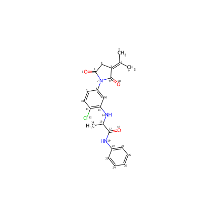 CC(C)=C1CC(=O)N(c2ccc(Cl)c(NC(C)C(=O)Nc3ccccc3)c2)C1=O